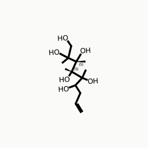 C=CCC(O)C(C)(O)[C@](C)(O)[C@@](C)(O)C(C)(O)CO